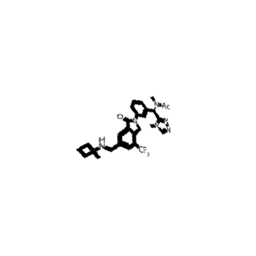 CC(=O)N(C)[C@@H](c1cccc(N2Cc3c(cc(CNC4(C)CCC4)cc3C(F)(F)F)C2=O)c1)c1nncn1C